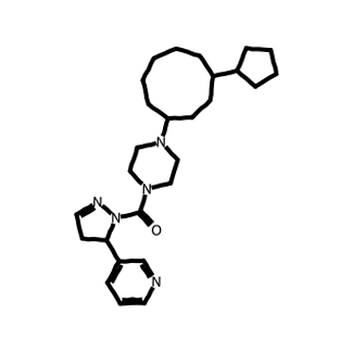 O=C(N1CCN(C2CCCCCC(C3CCCC3)CC2)CC1)N1N=CCC1c1cccnc1